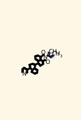 C/C=C\C(=C/C)N1C(=O)c2cccc3c(-c4ccc(-c5cccnc5)c5ccccc45)ccc(c23)C1=O